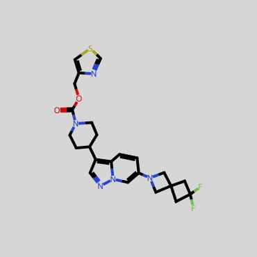 O=C(OCc1cscn1)N1CCC(c2cnn3cc(N4CC5(C4)CC(F)(F)C5)ccc23)CC1